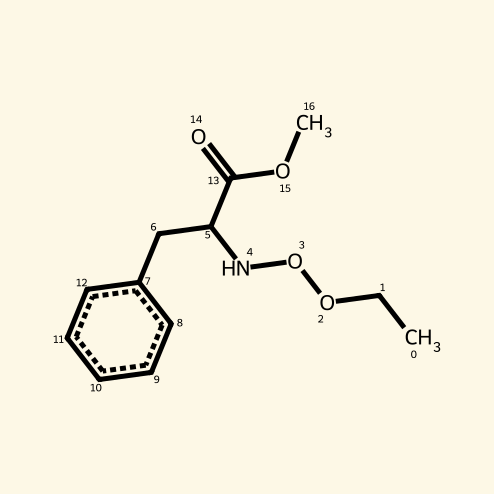 CCOONC(Cc1ccccc1)C(=O)OC